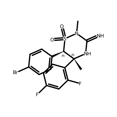 CN1C(=N)N[C@](C)(c2ccc(F)cc2F)[C@@H](c2ccc(Br)cc2)S1(=O)=O